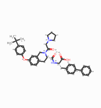 CC(C)(C)c1ccc(Oc2ccc3c(c2)CN(C(=O)CN2CCCC2)[C@H](C(=O)N[C@@H](Cc2ccc(-c4ccccc4)cc2)C(=O)O)C3)cc1